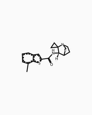 Cc1cccc2cc(C(=O)N[C@H]3C4CCN(CC4)C34CC4)sc12